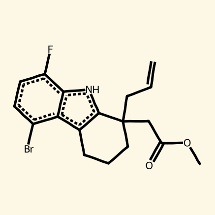 C=CCC1(CC(=O)OC)CCCc2c1[nH]c1c(F)ccc(Br)c21